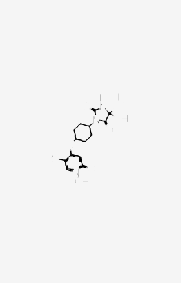 Cn1cc(Br)c(OC2CCC(N3C(=O)NC(C)(C)C3=O)CC2)cc1=O